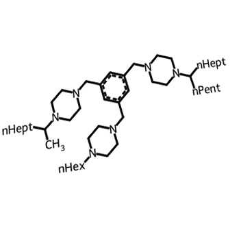 CCCCCCCC(C)N1CCN(Cc2cc(CN3CCN(CCCCCC)CC3)cc(CN3CCN(C(CCCCC)CCCCCCC)CC3)c2)CC1